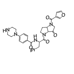 CC(C)CC(NC(=O)c1ccc(N2CCNCC2)cc1)C(=O)N1CCC2C1C(=O)CN2C(=O)c1ccoc1